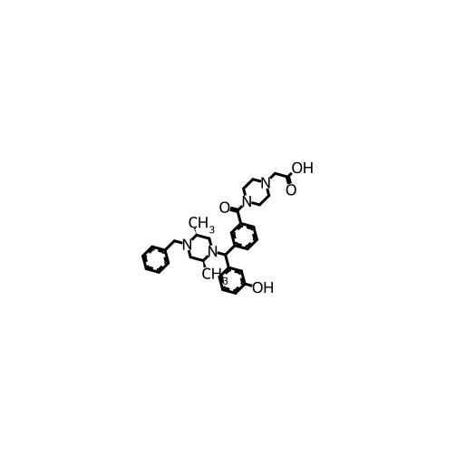 C[C@@H]1CN(C(c2cccc(O)c2)c2cccc(C(=O)N3CCN(CC(=O)O)CC3)c2)[C@@H](C)CN1Cc1ccccc1